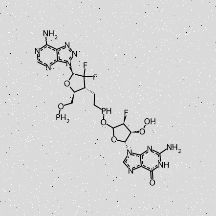 Nc1nc2c(ncn2[C@@H]2OC(OPCC[C@@H]3[C@@H](COP)O[C@@H](n4nnc5c(N)ncnc54)C3(F)F)[C@@H](F)[C@H]2OO)c(=O)[nH]1